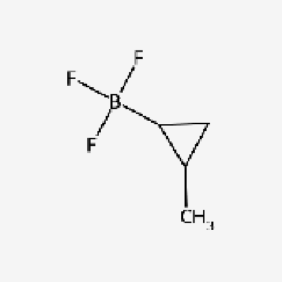 CC1CC1[B-](F)(F)F